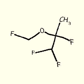 CC(F)(OCF)C(F)F